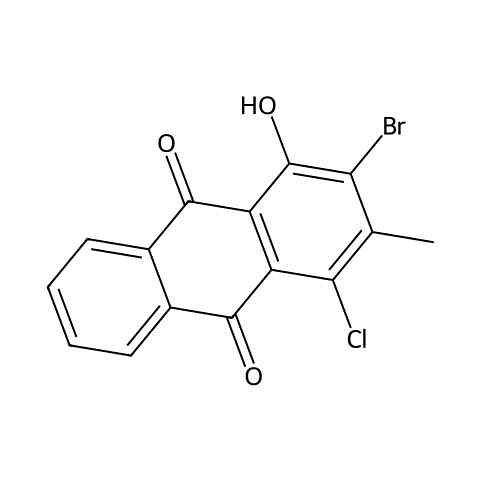 Cc1c(Cl)c2c(c(O)c1Br)C(=O)c1ccccc1C2=O